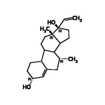 C=C[C@]1(O)CCC2C3C(CC[C@@]21C)C1CC[C@@H](O)C=C1C[C@H]3C